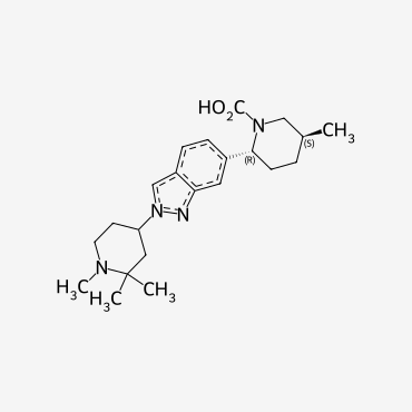 C[C@H]1CC[C@H](c2ccc3cn(C4CCN(C)C(C)(C)C4)nc3c2)N(C(=O)O)C1